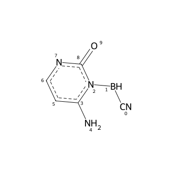 N#CBn1c(N)ccnc1=O